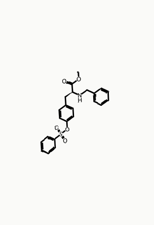 COC(=O)[C@H](Cc1ccc(OS(=O)(=O)c2ccccc2)cc1)NCc1ccccc1